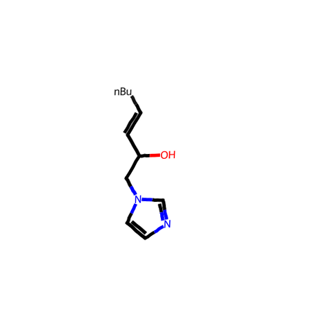 CCCCC=CC(O)Cn1ccnc1